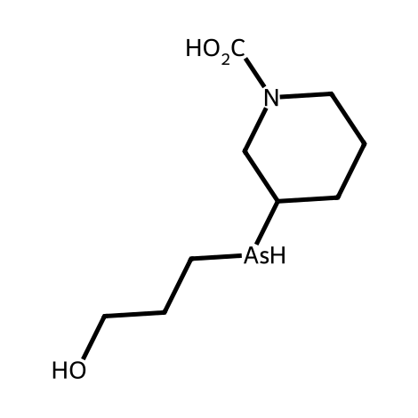 O=C(O)N1CCCC([AsH]CCCO)C1